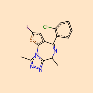 Cc1nnc2n1-c1sc(I)cc1C(c1ccccc1Cl)=NC2C